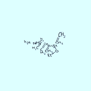 C=C.C=C.C=C.C=C.CCOCC.N.N